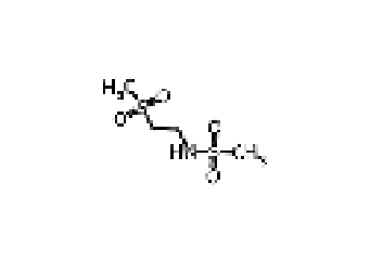 CS(=O)(=O)CCNS(C)(=O)=O